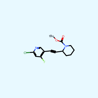 CC(C)(C)OC(=O)N1CCCCC1C#Cc1cnc(Cl)cc1F